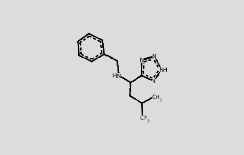 CC(CC(NCc1ccccc1)c1nn[nH]n1)C(F)(F)F